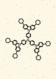 c1cc2c(cc1C1CCCCC1)c1cc(C3CCCCC3)ccc1n2-c1ccc(N(c2ccc(-n3c4ccc(C5CCCCC5)cc4c4cc(C5CCCCC5)ccc43)cc2)c2ccc(-n3c4ccc(C5CCCCC5)cc4c4cc(C5CCCCC5)ccc43)cc2)cc1